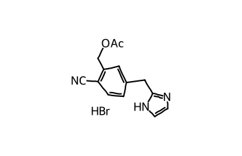 Br.CC(=O)OCc1cc(Cc2ncc[nH]2)ccc1C#N